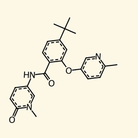 Cc1ccc(Oc2cc(C(C)(C)C)ccc2C(=O)Nc2ccc(=O)n(C)c2)cn1